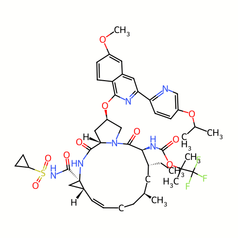 CC[C@@H]1C[C@@H](C)CC/C=C\[C@@H]2C[C@@]2(C(=O)NS(=O)(=O)C2CC2)NC(=O)[C@@H]2C[C@@H](Oc3nc(-c4ccc(OC(C)C)cn4)cc4cc(OC)ccc34)CN2C(=O)[C@H]1NC(=O)OC(C)(C)C(F)(F)F